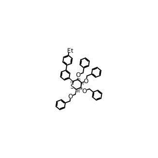 CCc1ccc(-c2cccc([C@@H]3S[C@H](COCc4ccccc4)[C@@H](OCc4ccccc4)[C@H](OCc4ccccc4)[C@H]3OCc3ccccc3)c2)cc1